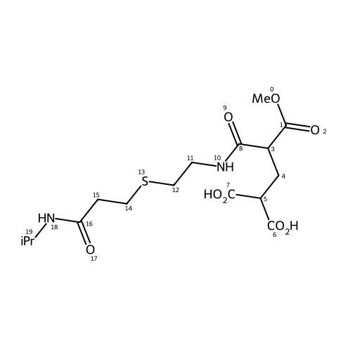 COC(=O)C(CC(C(=O)O)C(=O)O)C(=O)NCCSCCC(=O)NC(C)C